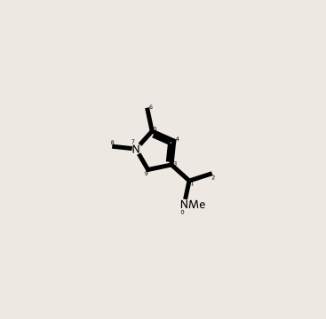 CNC(C)C1=C=C(C)N(C)C1